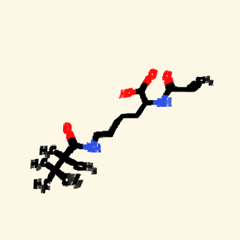 C=CC(=O)NC(CCCCNC(=O)C(C)(C)C(C)(C)C)C(=O)O